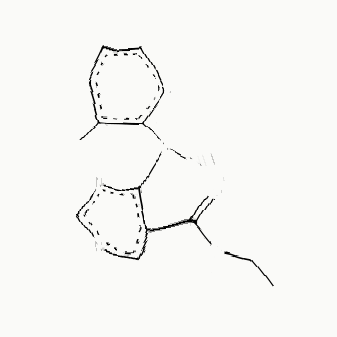 CCOC(=O)c1cncnc1N(N)c1ccccc1C